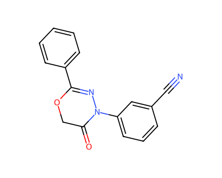 N#Cc1cccc(N2N=C(c3ccccc3)OCC2=O)c1